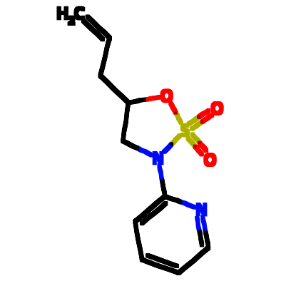 C=CCC1CN(c2ccccn2)S(=O)(=O)O1